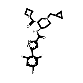 O=C(N[C@@H]1CCN(CC2CC2)C[C@H]1C(=O)N1CCC1)c1cc(-c2c(F)cc(F)cc2F)on1